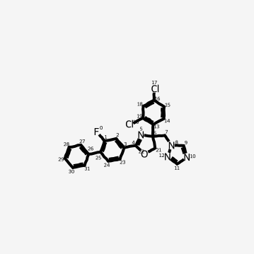 Fc1cc(C2=NC(Cn3cncn3)(c3ccc(Cl)cc3Cl)CO2)ccc1-c1ccccc1